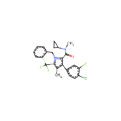 Cc1c(-c2ccc(Cl)c(F)c2)c(C(=O)N(C)C2CC2)n(Cc2ccccc2)c1C(F)(F)F